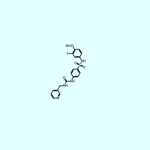 COc1ccc(NS(=O)(=O)c2ccc(NC(=O)NCc3cccnc3)cc2)cc1F